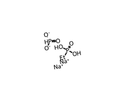 CCP(=O)(O)O.O=[PH]([O-])[O-].[Na+].[Na+]